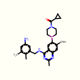 COc1cc2nc(C)nc(NCc3cc(N)cc(C(F)(F)F)c3C)c2cc1P1CCN(C(=O)C2CC2)CC1